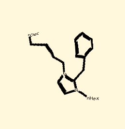 CCCCCCCCCCCCCC[n+]1ccn(CCCCCC)c1Cc1ccccc1